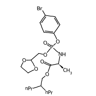 CCCC(CCC)COC(=O)[C@H](C)NP(=O)(OCC1OCCO1)Oc1ccc(Br)cc1